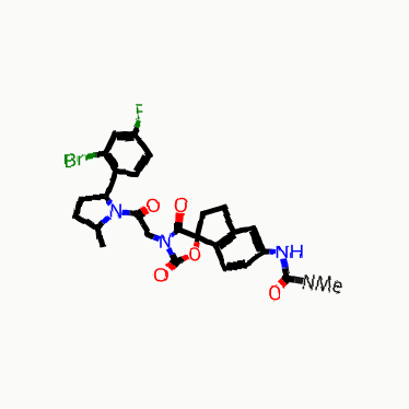 CNC(=O)Nc1ccc2c(c1)CCC21OC(=O)N(CC(=O)N2C(C)CCC2c2ccc(F)cc2Br)C1=O